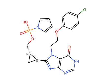 O=c1[nH]cnc2nc([C@H]3C[C@@H]3COP(=O)(O)n3cccc3)n(CCOc3ccc(Cl)cc3)c12